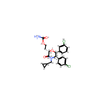 NC(=O)OCC[C@@H]1O[C@@H](c2cccc(Cl)c2)[C@@H](c2ccc(Cl)cc2)N(CC2CC2)C1=O